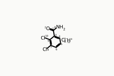 NC(=O)c1cccc(Cl)c1Cl.[Cl-].[H+]